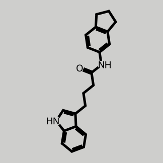 O=C(CCCc1c[nH]c2ccccc12)Nc1ccc2c(c1)CCC2